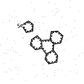 c1cc[se]c1.c1ccc2c(c1)c1ccccc1c1ccccc21